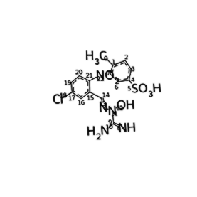 Cc1ccc(S(=O)(=O)O)cc1.N=C(N)N(O)N=Cc1cc(Cl)ccc1[N+](=O)[O-]